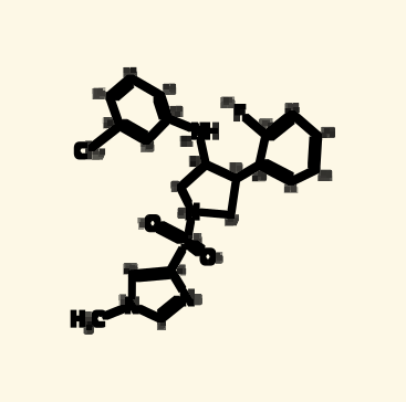 Cn1cnc(S(=O)(=O)N2CC(Nc3cccc(Cl)c3)C(c3ccccc3F)C2)c1